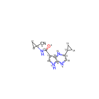 N#CC1(NC(=O)c2c[nH]c3ncc(C4CC4)nc23)CC1